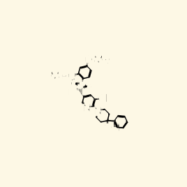 COc1ccc(S(=O)(=O)Nc2cnc(N3CCC(O)(c4ccccc4)CC3)c(Cl)c2)c(OC)c1